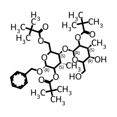 C[C@@H]1C(OC(=O)C(C)(C)C)[C@H](OCc2ccccc2)OC(COC(=O)C(C)(C)C)[C@H]1O[C@@H]1OC(CO)[C@H](O)[C@H](C)C1OC(=O)C(C)(C)C